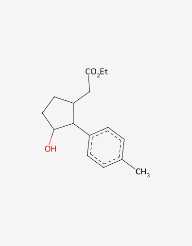 CCOC(=O)CC1CCC(O)C1c1ccc(C)cc1